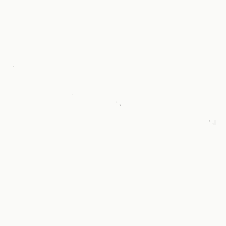 Cc1ccc2c(c1)CCN(Cc1cccc3c1CNCC3)C2